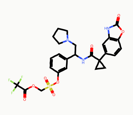 O=C(OCS(=O)(=O)Oc1cccc(C(CN2CCCC2)NC(=O)C2(c3ccc4oc(=O)[nH]c4c3)CC2)c1)C(F)(F)F